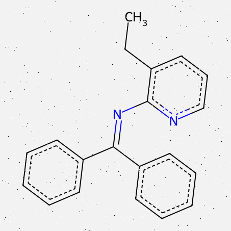 CCc1cccnc1N=C(c1ccccc1)c1ccccc1